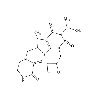 Cc1c(CN2CCNC(=O)C2=O)sc2c1c(=O)n(C(C)C)c(=O)n2CC1CCO1